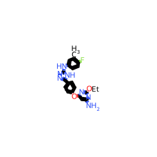 CCOc1nc(N)cc(Oc2ccc(-c3nnc(Nc4ccc(F)c(C)c4)[nH]3)cc2)n1